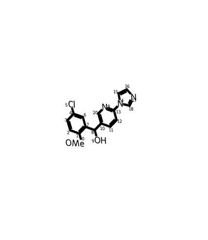 COc1ccc(Cl)cc1C(O)c1ccc(-n2ccnc2)nc1